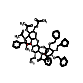 CCO[C@@H]1O[C@H](COCc2ccccc2)[C@@H](O[C@@H]2O[C@H](COC(C)=O)[C@H](OC(C)=O)[C@H](OC(C)=O)[C@H]2OC(C)=O)[C@H](O[C@@H]2O[C@@H](C)[C@@H](OCc3ccccc3)[C@@H](OCc3ccccc3)[C@@H]2OCc2ccccc2)[C@H]1N1C(=O)c2ccccc2C1=O